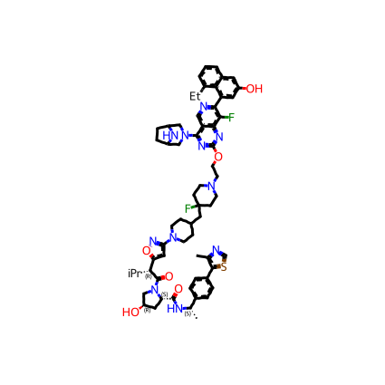 CCc1cccc2cc(O)cc(-c3ncc4c(N5CC6CCC(C5)N6)nc(OCCN5CCC(F)(CC6CCN(c7cc([C@H](C(=O)N8C[C@H](O)C[C@H]8C(=O)N[C@@H](C)c8ccc(-c9scnc9C)cc8)C(C)C)on7)CC6)CC5)nc4c3F)c12